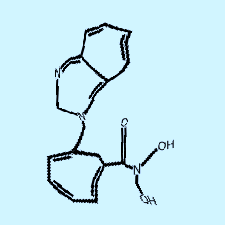 O=C(c1ccccc1N1C=c2ccccc2=NC1)N(O)O